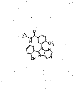 Cc1ccc(C(=O)NC2CC2)cc1-n1c(-c2ccccc2C#N)nc2cncnc21